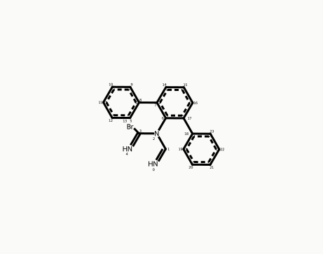 N=CN(C(=N)Br)c1c(-c2ccccc2)cccc1-c1ccccc1